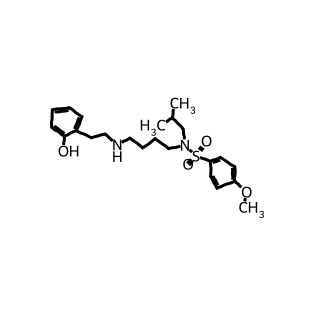 COc1ccc(S(=O)(=O)N(CCCCNCCc2ccccc2O)CC(C)C)cc1